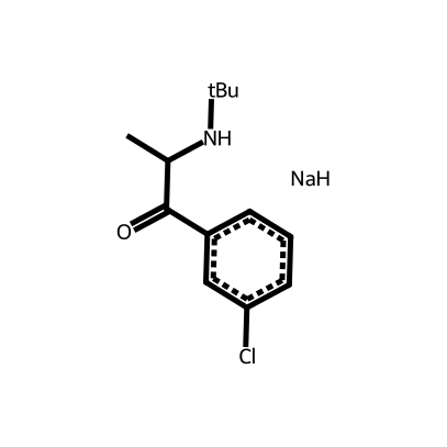 CC(NC(C)(C)C)C(=O)c1cccc(Cl)c1.[NaH]